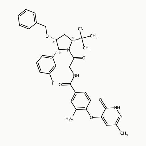 Cc1cc(Oc2ccc(C(=O)NCC(=O)N3[C@H](c4cccc(F)c4)[C@H](OCc4ccccc4)C[C@@H]3C(C)(C)C#N)cc2C)c(=O)[nH]n1